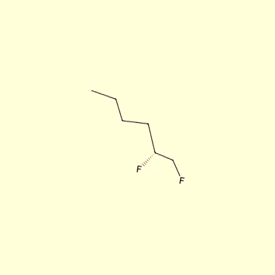 CCCC[C@@H](F)CF